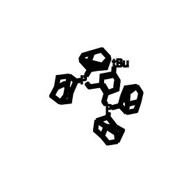 CC(C)(C)c1ccc(CP(C2C3CC4CC(C3)CC2C4)C2C3CC4CC(C3)CC2C4)c(CP(C2C3CC4CC(C3)CC2C4)C2C3CC4CC(C3)CC2C4)c1